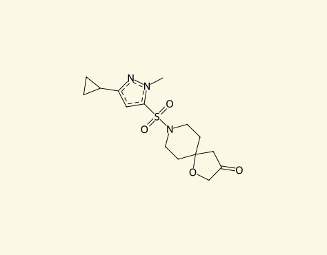 Cn1nc(C2CC2)cc1S(=O)(=O)N1CCC2(CC1)CC(=O)CO2